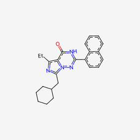 CCc1nc(CC2CCCCC2)n2nc(-c3cccc4ccccc34)[nH]c(=O)c12